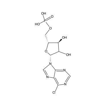 O=P(O)(O)OC[C@H]1O[C@@H](n2cnc3c(Cl)ncnc32)C(O)[C@@H]1O